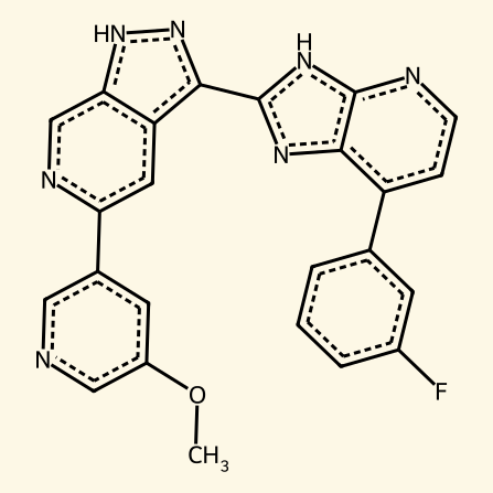 COc1cncc(-c2cc3c(-c4nc5c(-c6cccc(F)c6)ccnc5[nH]4)n[nH]c3cn2)c1